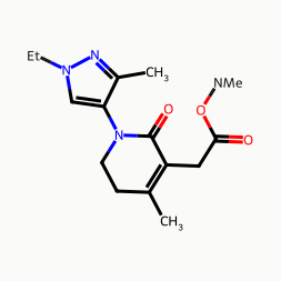 CCn1cc(N2CCC(C)=C(CC(=O)ONC)C2=O)c(C)n1